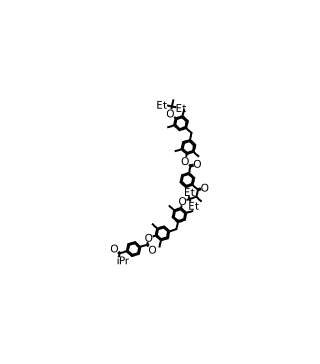 CCC(C)(CC)Oc1c(C)cc(Cc2cc(C)c(OC(=O)c3cccc(C(=O)C(C)C(CC)(CC)Oc4c(C)cc(Cc5cc(C)c(OC(=O)c6ccc(C(=O)C(C)C)cc6)c(C)c5)cc4C)c3)c(C)c2)cc1C